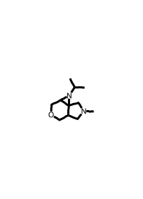 CC(C)N1C2COCC3CN(C)CC321